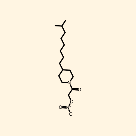 CC(C)CCCCCCC1CCN(C(=O)CO[N+](=O)[O-])CC1